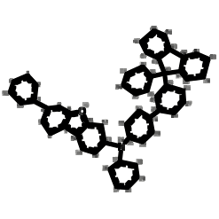 c1ccc(-c2ccc3c(c2)oc2cc(N(c4ccccc4)c4ccc(-c5cccc(C6(c7ccccc7)c7ccccc7-c7ccccc76)c5)cc4)ccc23)cc1